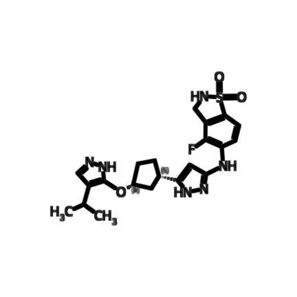 CC(C)c1cn[nH]c1O[C@@H]1CC[C@H](c2cc(Nc3ccc4c(c3F)CNS4(=O)=O)n[nH]2)C1